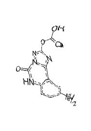 Nc1ccc2[nH]c(=O)n3nc(OC(=O)O)nc3c2c1